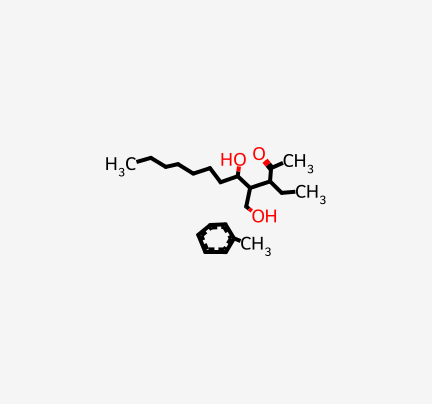 CCCCCCCC(O)C(CO)C(CC)C(C)=O.Cc1ccccc1